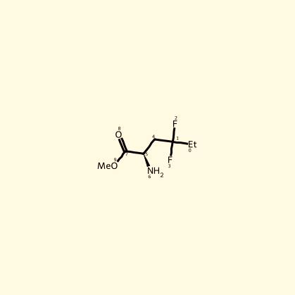 CCC(F)(F)C[C@@H](N)C(=O)OC